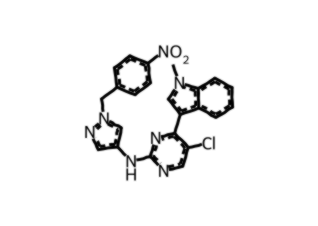 Cn1cc(-c2nc(Nc3cnn(Cc4ccc([N+](=O)[O-])cc4)c3)ncc2Cl)c2ccccc21